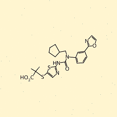 CC(C)(Sc1cnc(NC(=O)N(CC2CCCC2)c2cccc(-c3ncco3)c2)s1)C(=O)O